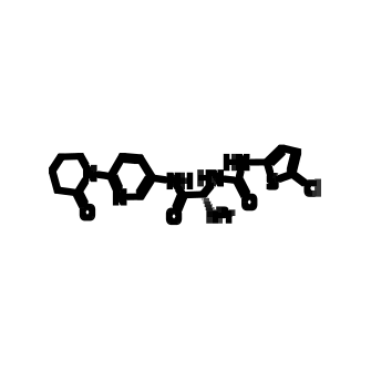 CCC[C@@H](NC(=O)Nc1ccc(Cl)s1)C(=O)Nc1ccc(N2CCCCC2=O)nc1